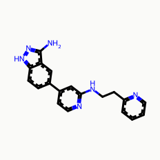 Nc1n[nH]c2ccc(-c3ccnc(NCCc4ccccn4)c3)cc12